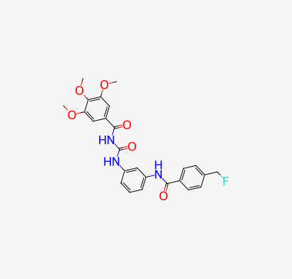 COc1cc(C(=O)NC(=O)Nc2cccc(NC(=O)c3ccc(CF)cc3)c2)cc(OC)c1OC